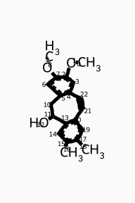 COc1cc2c(cc1OC)CC(O)c1cc(C)c(C)cc1C#C2